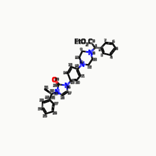 CCOC(=O)C(c1ccccc1)N1CCN(c2ccc(-n3ccn([C@H](C)c4ccccc4)c3=O)cc2)CC1